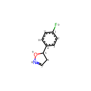 Fc1ccc(C2C[C]=NO2)cc1